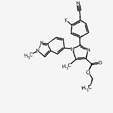 CCOC(=O)c1nc(-c2ccc(C#N)c(F)c2)n(-c2ccc3nn(C)cc3c2)c1C